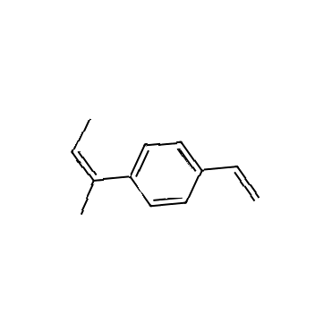 C=Cc1ccc(/C(C)=C\C)cc1